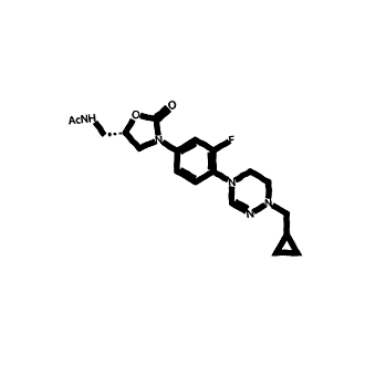 CC(=O)NC[C@H]1CN(c2ccc(N3C=NN(CC4CC4)CC3)c(F)c2)C(=O)O1